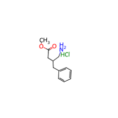 COC(=O)CC(CN)Cc1ccccc1.Cl